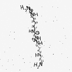 NCCCNCCCCNC(=O)NCC(=O)NCCCCCCNC=NN